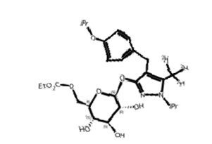 [2H]C([2H])([2H])c1c(Cc2ccc(OC(C)C)cc2)c(O[C@@H]2O[C@H](COC(=O)OCC)[C@@H](O)[C@H](O)[C@H]2O)nn1C(C)C